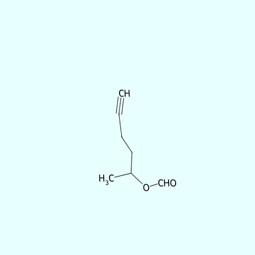 C#CCCC(C)OC=O